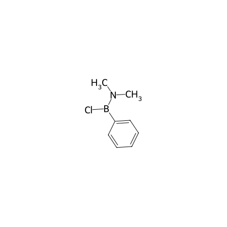 CN(C)B(Cl)c1ccccc1